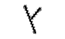 COCCCCCCCCP(CCCCCCCCOC)CCCCCCCCOC